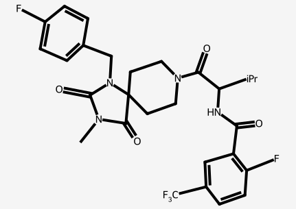 CC(C)C(NC(=O)c1cc(C(F)(F)F)ccc1F)C(=O)N1CCC2(CC1)C(=O)N(C)C(=O)N2Cc1ccc(F)cc1